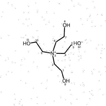 OCC[N+](CI)(CCO)CCO.[OH-]